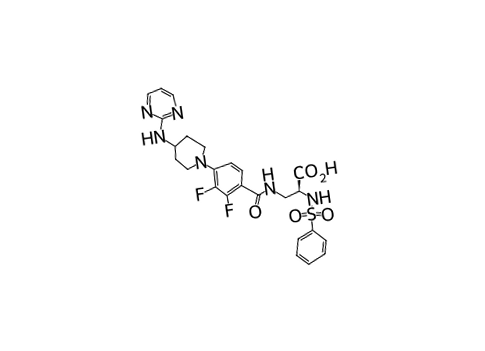 O=C(NC[C@H](NS(=O)(=O)c1ccccc1)C(=O)O)c1ccc(N2CCC(Nc3ncccn3)CC2)c(F)c1F